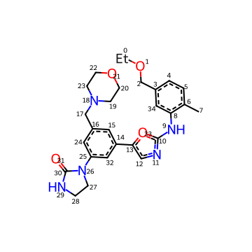 CCOCc1ccc(C)c(Nc2ncc(-c3cc(CN4CCOCC4)cc(N4CCNC4=O)c3)o2)c1